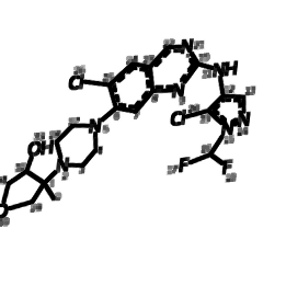 CC1(N2CCN(c3cc4nc(Nc5cnn(C(F)F)c5Cl)ncc4cc3Cl)CC2)COCC1O